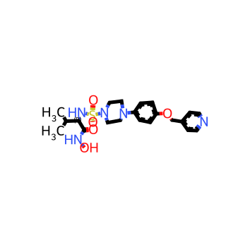 CC(C)[C@@H](NS(=O)(=O)N1CCN(c2ccc(OCc3ccncc3)cc2)CC1)C(=O)NO